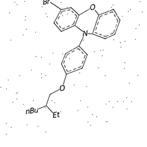 CCCCC(CC)COc1ccc(N2c3ccccc3Oc3cc(Br)ccc32)cc1